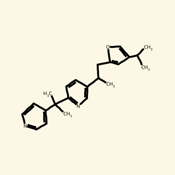 CC(C)c1coc(CC(C)c2ccc(C(C)(C)c3ccncc3)nc2)c1